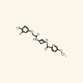 O=C(COc1ccc(Cl)c(F)c1)NC12CC(NC(=O)c3ccc(OC(F)(F)F)cn3)(C1)C2